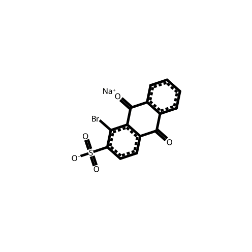 O=C1c2ccccc2C(=O)c2c1ccc(S(=O)(=O)[O-])c2Br.[Na+]